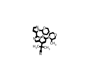 CC1COCCN1c1cc(C(C)(C)C#N)c2cnc(-c3ccnn3C3CCCCO3)n2n1